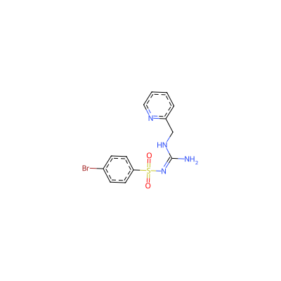 NC(=NS(=O)(=O)c1ccc(Br)cc1)NCc1ccccn1